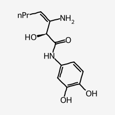 CCC/C=C(/N)[C@H](O)C(=O)Nc1ccc(O)c(O)c1